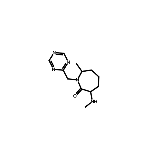 CNC1CCCC(C)N(Cc2ncncn2)C1=O